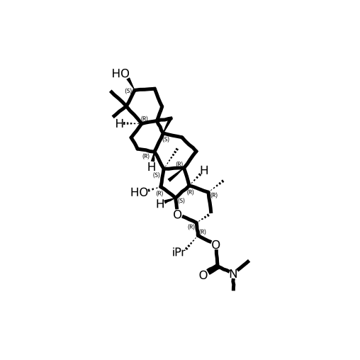 CC(C)[C@@H](OC(=O)N(C)C)[C@H]1C[C@@H](C)[C@H]2[C@H](O1)[C@H](O)[C@@]1(C)[C@@H]3CC[C@H]4C(C)(C)[C@@H](O)CCC45C[C@@]35CC[C@]21C